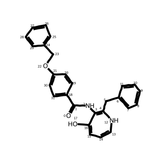 O=C(NC1=C(Cc2ccccc2)NC=CC=C1O)c1ccc(OCc2ccccc2)cc1